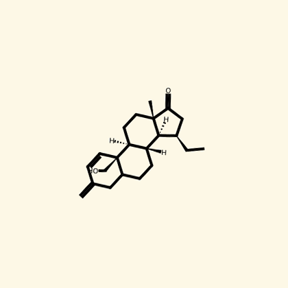 C=C1C=C[C@@]2(CO)C(CC[C@H]3[C@@H]4[C@H](CC)CC(=O)[C@@]4(C)CC[C@@H]32)C1